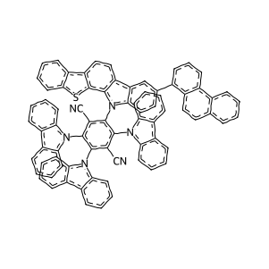 N#Cc1c(-n2c3ccccc3c3ccccc32)c(-n2c3ccccc3c3ccccc32)c(C#N)c(-n2c3ccc(-c4cccc5c4ccc4ccccc45)cc3c3ccc4c5ccccc5sc4c32)c1-n1c2ccccc2c2ccccc21